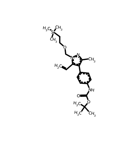 C=Cc1c(-c2ccc(NC(=O)OC(C)(C)C)cc2)c(C)nn1COCC[Si](C)(C)C